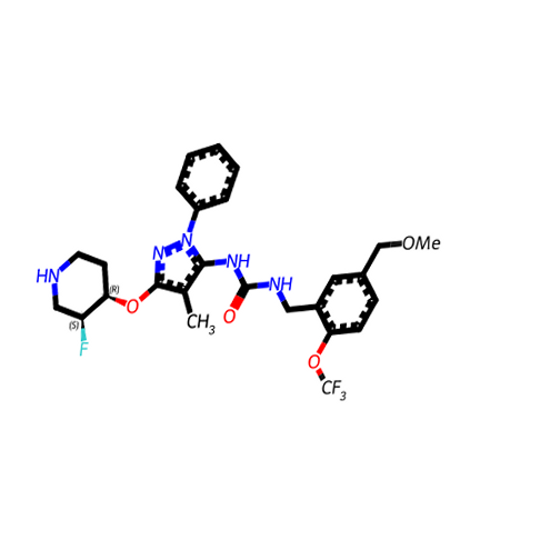 COCc1ccc(OC(F)(F)F)c(CNC(=O)Nc2c(C)c(O[C@@H]3CCNC[C@@H]3F)nn2-c2ccccc2)c1